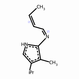 C/C=C\C=N/c1[nH]cc(C(C)C)c1C